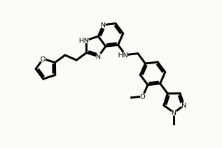 COc1cc(CNc2ccnc3[nH]c(CCc4ccco4)nc23)ccc1-c1cnn(C)c1